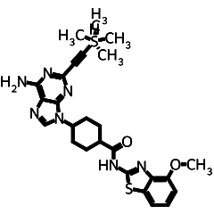 COc1cccc2sc(NC(=O)C3CCC(n4cnc5c(N)nc(C#C[SH](C)(C)(C)C)nc54)CC3)nc12